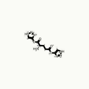 N[C@@H](CCC(=O)Oc1c[nH]nn1)C(=O)Oc1c[nH]nn1